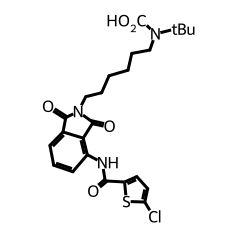 CC(C)(C)N(CCCCCCN1C(=O)c2cccc(NC(=O)c3ccc(Cl)s3)c2C1=O)C(=O)O